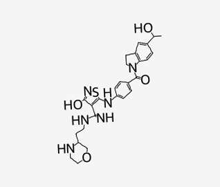 CC(O)c1ccc2c(c1)CCN2C(=O)c1ccc(Nc2snc(O)c2C(=N)NCCC2COCCN2)cc1